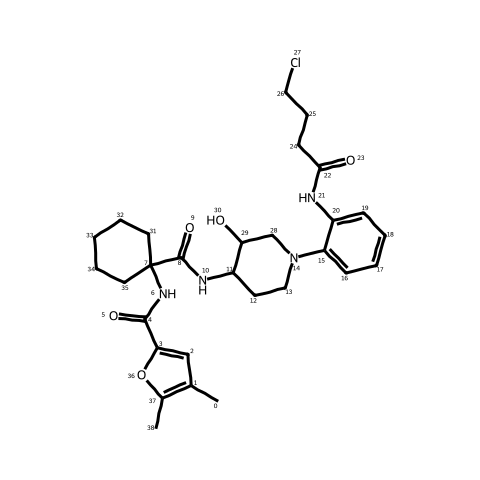 Cc1cc(C(=O)NC2(C(=O)NC3CCN(c4ccccc4NC(=O)CCCCl)CC3O)CCCCC2)oc1C